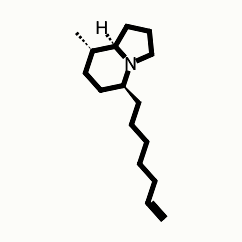 C=CCCCCC[C@H]1CC[C@H](C)[C@H]2CCCN12